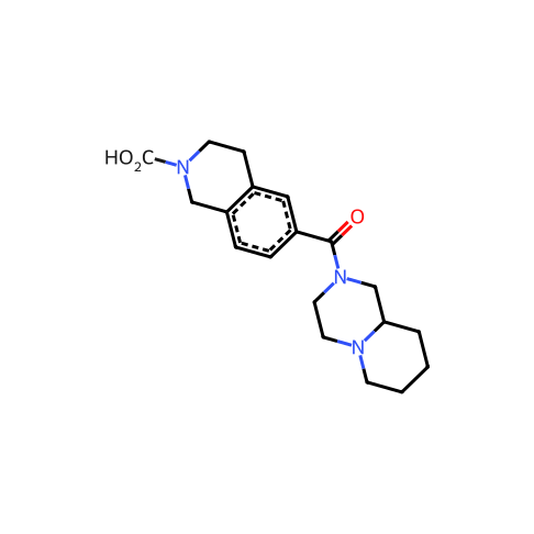 O=C(O)N1CCc2cc(C(=O)N3CCN4CCCCC4C3)ccc2C1